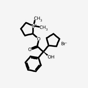 C[N+]1(C)CCCC1OC(=O)[C@@](O)(c1ccccc1)C1CCCC1.[Br-]